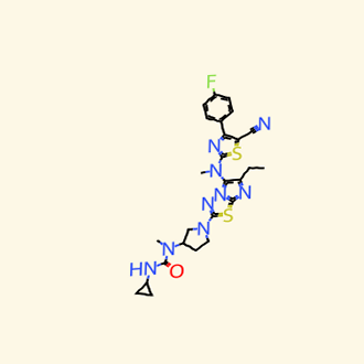 CCc1nc2sc(N3CCC(N(C)C(=O)NC4CC4)C3)nn2c1N(C)c1nc(-c2ccc(F)cc2)c(C#N)s1